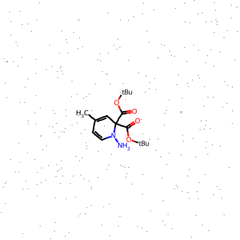 CC1=CC(C(=O)OC(C)(C)C)(C(=O)OC(C)(C)C)N(N)C=C1